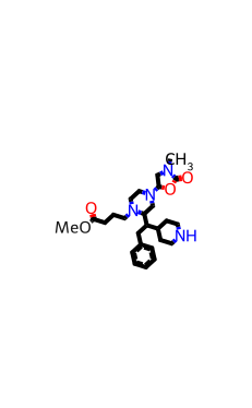 COC(=O)CCCN1CCN(C2CN(C)C(=O)O2)CC1C(Cc1ccccc1)C1CCNCC1